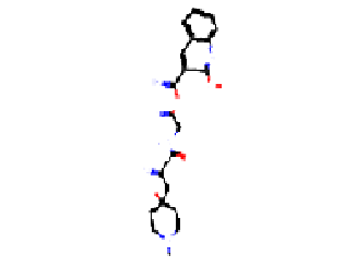 COc1nc2ccccc2cc1C(=N)OC(=N)CNC(=O)C(=N)CC1(O)CCN(C)CC1